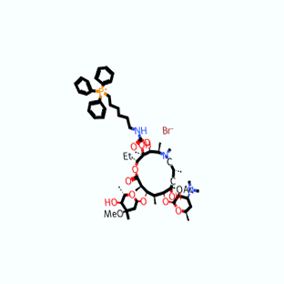 CC[C@H]1OC(=O)[C@H](C)[C@@H](O[C@H]2C[C@@](C)(OC)[C@@H](O)[C@H](C)O2)[C@H](C)[C@@H](O[C@@H]2O[C@H](C)C[C@H](N(C)C)[C@H]2OC(C)=O)[C@](C)(O)C[C@@H](C)CN(C)[C@H](C)[C@@H](OC(=O)NCCCCCC[P+](c2ccccc2)(c2ccccc2)c2ccccc2)[C@]1(C)O.[Br-]